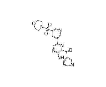 Nc1ncc(-c2cncc(S(=O)(=O)N3CCOCC3)c2)nc1C(=O)c1cccnc1